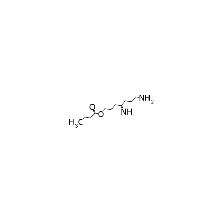 CCCC(=O)OCCCC(=N)CCCN